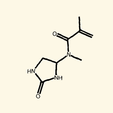 C=C(C)C(=O)N(C)C1CNC(=O)N1